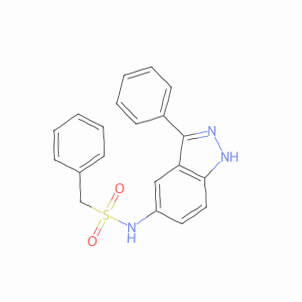 O=S(=O)(Cc1ccccc1)Nc1ccc2[nH]nc(-c3ccccc3)c2c1